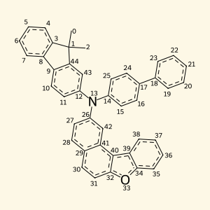 CC1(C)c2ccccc2-c2ccc(N(c3ccc(-c4ccccc4)cc3)c3ccc4ccc5oc6ccccc6c5c4c3)cc21